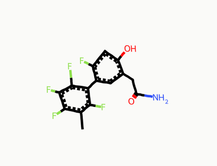 Cc1c(F)c(F)c(F)c(-c2cc(CC(N)=O)c(O)cc2F)c1F